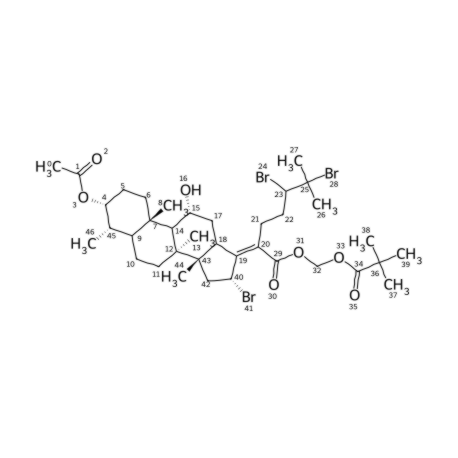 CC(=O)O[C@@H]1CC[C@@]2(C)C(CC[C@@]3(C)C2[C@H](O)CC2/C(=C(\CCC(Br)C(C)(C)Br)C(=O)OCOC(=O)C(C)(C)C)[C@H](Br)C[C@@]23C)[C@@H]1C